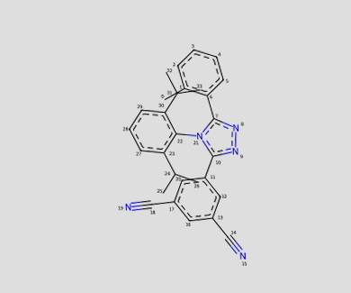 Cc1ccccc1-c1nnc(-c2cc(C#N)cc(C#N)c2)n1-c1c(C(C)C)cccc1C(C)C